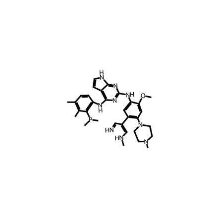 CN/C=C(\C=N)c1cc(Nc2nc(Nc3ccc(C)c(C)c3P(C)C)c3cc[nH]c3n2)c(OC)cc1N1CCN(C)CC1